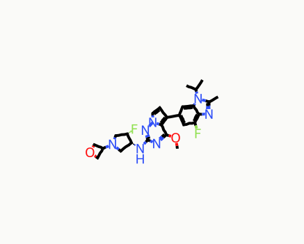 COc1nc(N[C@@H]2CN(C3COC3)C[C@@H]2F)nn2ccc(-c3cc(F)c4nc(C)n(C(C)C)c4c3)c12